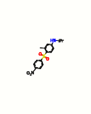 Cc1cc(NC(C)C)ccc1S(=O)(=O)c1ccc([N+](=O)[O-])cc1